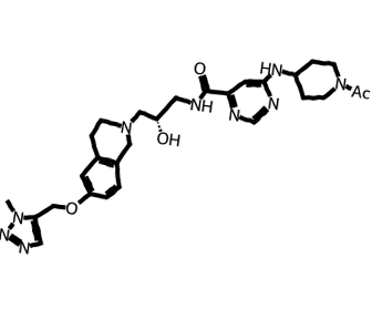 CC(=O)N1CCC(Nc2cc(C(=O)NC[C@H](O)CN3CCc4cc(OCc5cnnn5C)ccc4C3)ncn2)CC1